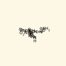 NC(=O)c1ccccc1[C@@H]1CCCN1C1CC2(CCN(c3ccc(C(=O)NS(=O)(=O)c4ccc(NCC5CCOCC5)c([N+](=O)[O-])c4)c(N4c5cc6cc[nH]c6nc5O[C@@H]5COC[C@H]54)c3)CC2)C1